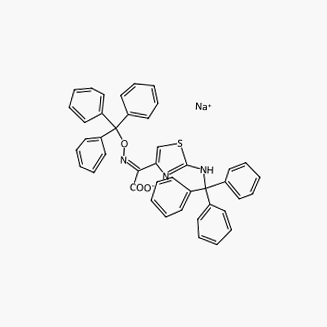 O=C([O-])C(=NOC(c1ccccc1)(c1ccccc1)c1ccccc1)c1csc(NC(c2ccccc2)(c2ccccc2)c2ccccc2)n1.[Na+]